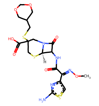 CON=C(C(=O)NC1C(=O)N2CC(SCC3COCOC3)(C(=O)O)CS[C@H]12)c1csc(N)n1